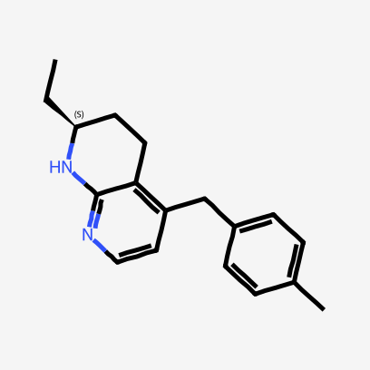 CC[C@H]1CCc2c(Cc3ccc(C)cc3)ccnc2N1